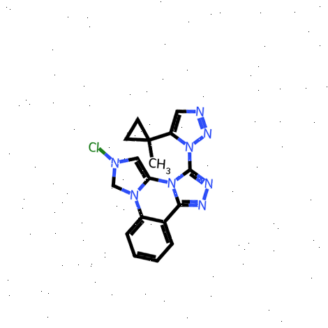 CC1(c2cnnn2-c2nnc3n2C2=CN(Cl)CN2c2ccccc2-3)CC1